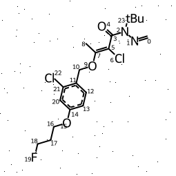 C=NN(C(=O)/C(Cl)=C(\C)OCc1ccc(OCCCF)cc1Cl)C(C)(C)C